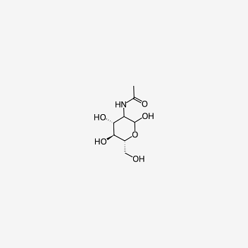 CC(=O)NC1C(O)O[C@H](CO)[C@@H](O)[C@@H]1O